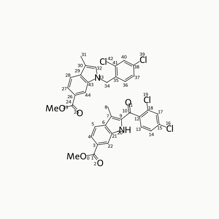 COC(=O)c1ccc2c(C)c(C(=O)c3ccc(Cl)cc3Cl)[nH]c2c1.COC(=O)c1ccc2c(C)cn(Cc3ccc(Cl)cc3Cl)c2c1